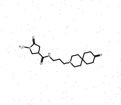 CN1CC(C(=O)NCCCN2CCC3(CCC(=O)CC3)CC2)CC1=O